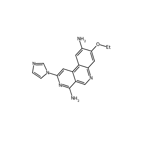 CCOc1cc2ncc3c(N)nc(-n4ccnc4)cc3c2cc1N